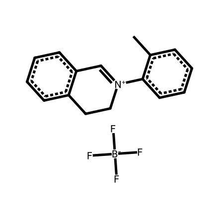 Cc1ccccc1[N+]1=Cc2ccccc2CC1.F[B-](F)(F)F